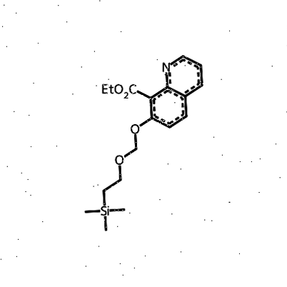 CCOC(=O)c1c(OCOCC[Si](C)(C)C)ccc2cccnc12